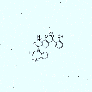 COc1c(C(=O)c2ccccc2O)ccc(C(=O)N(C)c2ccccc2C)c1N